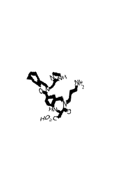 NCCCN1Cc2cc(C(=O)N(Cc3ccccc3)Cc3ncc[nH]3)ccc2NC(CC(=O)O)C1=O